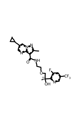 Cc1nn2cc(C3CC3)cnc2c1C(=O)NCCOC[C@@](C)(O)c1ncc(C(F)(F)F)cc1F